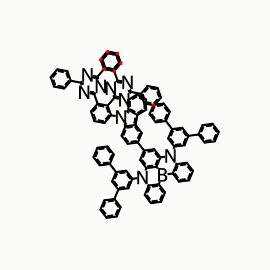 c1ccc(-c2cc(-c3ccccc3)cc(N3c4ccccc4B4c5ccccc5N(c5cc(-c6ccccc6)cc(-c6ccccc6)c5)c5cc(-c6ccc7c(c6)c6ccccc6n7-c6cccc(-c7nc(-c8ccccc8)nc(-c8ccccc8)n7)c6-c6nc(-c7ccccc7)nc(-c7ccccc7)n6)cc3c54)c2)cc1